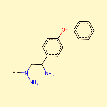 CCN(N)/C=C(\N)c1ccc(Oc2ccccc2)cc1